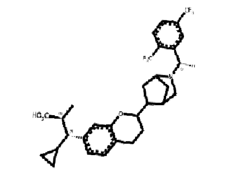 C[C@H](C(=O)O)[C@H](c1ccc2c(c1)OC(C1CC3CC1CN3[C@@H](C)c1cc(C(F)(F)F)ccc1C(F)(F)F)CC2)C1CC1